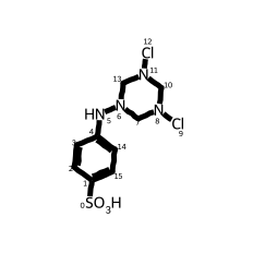 O=S(=O)(O)c1ccc(NN2CN(Cl)CN(Cl)C2)cc1